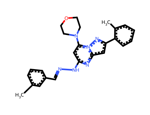 Cc1cccc(C=NNc2cc(N3CCOCC3)n3nc(-c4ccccc4C)cc3n2)c1